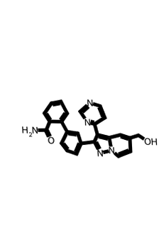 NC(=O)c1ccccc1-c1cccc(-c2nn3ccc(CO)cc3c2-c2ccncn2)c1